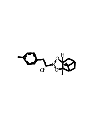 Cc1ccc(C[C@@H](Cl)B2O[C@@H]3CC4CC(C4(C)C)[C@]3(C)O2)cc1